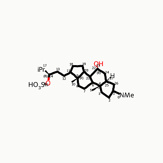 CNC1CC[C@]2(C)C3CC[C@]4(C)C(CC[C@@H](OS(=O)(=O)O)C(C)C)CCC4C3[C@H](O)C[C@H]2C1